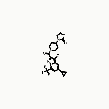 O=C(c1nn2c(C(F)(F)F)cc(C3CC3)cc2c1Cl)N1CCC(N2CCOC2=O)CC1